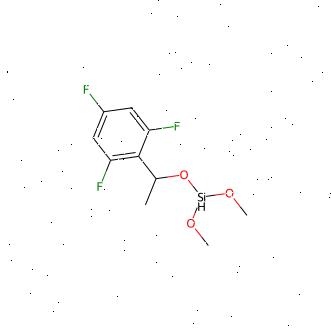 CO[SiH](OC)OC(C)c1c(F)cc(F)cc1F